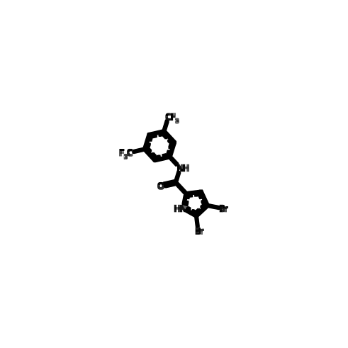 O=C(Nc1cc(C(F)(F)F)cc(C(F)(F)F)c1)c1cc(Br)c(Br)[nH]1